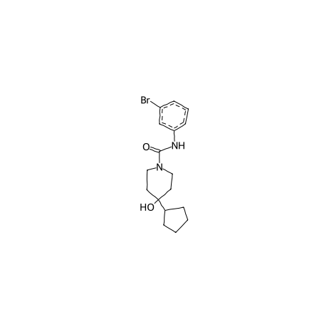 O=C(Nc1cccc(Br)c1)N1CCC(O)(C2CCCC2)CC1